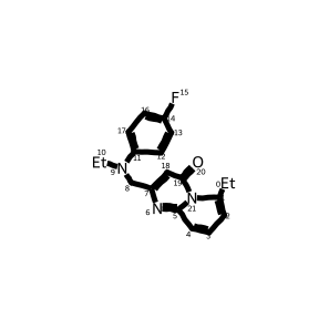 CCc1cccc2nc(CN(CC)c3ccc(F)cc3)cc(=O)n12